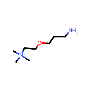 C[N+](C)(C)CCOCCCN